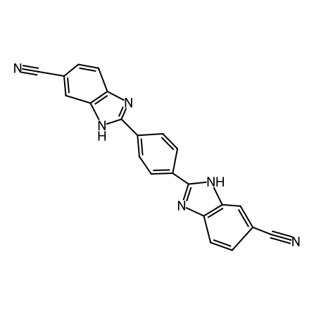 N#Cc1ccc2nc(-c3ccc(-c4nc5ccc(C#N)cc5[nH]4)cc3)[nH]c2c1